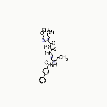 C=C/C=C(\C=C\NC(=S)NC(=O)C(/C=C\COC)=C/CO)NC(=O)C1C=CC(c2ccccc2)=CC1